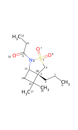 CCC[C@]12CS(=O)(=O)N(C(=O)CC)C1CC2(C)C